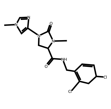 CN1C(=O)N(c2cn(C)cn2)CC1C(=O)NCC1=C(Cl)CC(Cl)C=C1